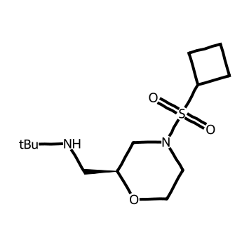 CC(C)(C)NC[C@H]1CN(S(=O)(=O)C2CCC2)CCO1